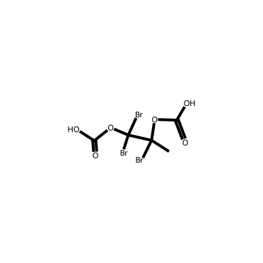 CC(Br)(OC(=O)O)C(Br)(Br)OC(=O)O